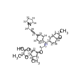 Cc1cc2cc(/C(=C/COc3ccc(OC(C)C(=O)O)c(C)c3)c3ccc(C#CCN4CCCC4)cc3)ccc2o1